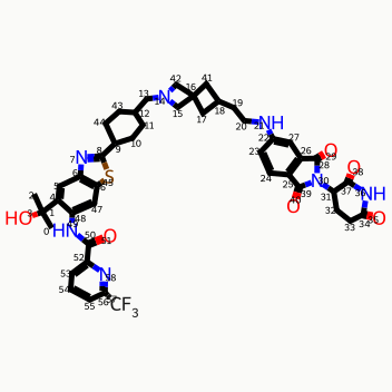 CC(C)(O)c1cc2nc(C3CCC(CN4CC5(CC(CCNc6ccc7c(c6)C(=O)N(C6CCC(=O)NC6=O)C7=O)C5)C4)CC3)sc2cc1NC(=O)c1cccc(C(F)(F)F)n1